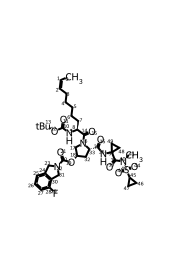 C/C=C\CCCCC[C@H](NC(=O)OC(C)(C)C)C(=O)N1C[C@H](OC(=O)N2Cc3cccc(F)c3C2)C[C@H]1C(=O)NC1(C(=O)N(C)S(=O)(=O)C2CC2)CC1